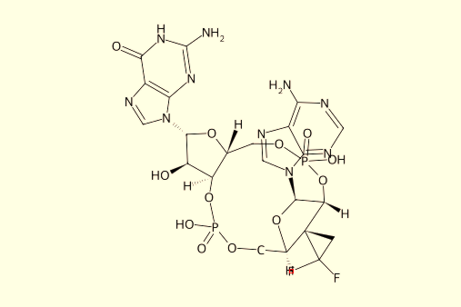 Nc1nc2c(ncn2[C@@H]2O[C@@H]3COP(=O)(O)O[C@H]4[C@H](n5cnc6c(N)ncnc65)O[C@H](COP(=O)(O)O[C@H]3[C@H]2O)[C@]42CC2(F)F)c(=O)[nH]1